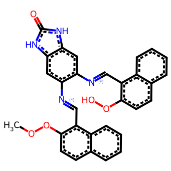 COOc1ccc2ccccc2c1/C=N/c1cc2[nH]c(=O)[nH]c2cc1/N=C/c1c(OO)ccc2ccccc12